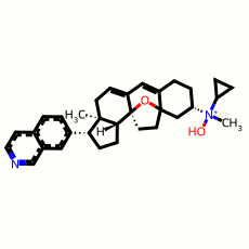 C[C@]12CC=C3C=C4CC[C@H]([N+](C)(O)C5CC5)CC45CC[C@]3(O5)[C@@H]1CC[C@@H]2c1ccc2ccncc2c1